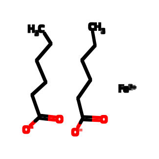 CCCCCC(=O)[O-].CCCCCC(=O)[O-].[Fe+2]